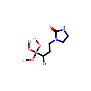 CCO[Si](OCC)(OCC)C(CC)CCN1CCNC1=O